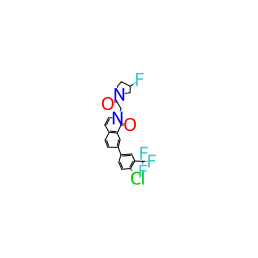 O=C(Cn1ccc2ccc(-c3ccc(Cl)c(C(F)(F)F)c3)cc2c1=O)N1CCC(F)C1